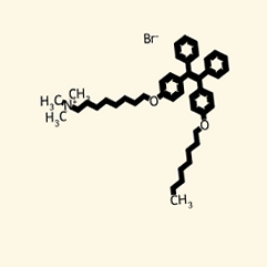 CCCCCCCCOc1ccc(C(=C(c2ccccc2)c2ccc(OCCCCCCCC[N+](C)(C)C)cc2)c2ccccc2)cc1.[Br-]